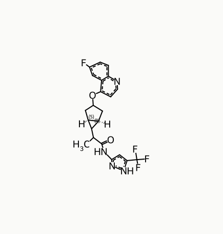 CC(C(=O)Nc1cc(C(F)(F)F)[nH]n1)C1[C@H]2CC(Oc3ccnc4ccc(F)cc34)C[C@@H]12